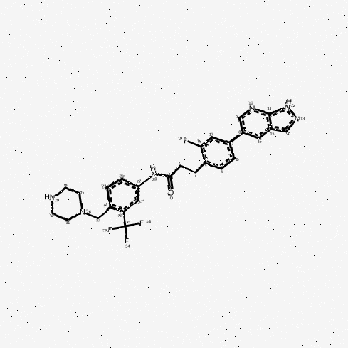 O=C(CCc1ccc(-c2cnc3[nH]ncc3c2)cc1F)Nc1ccc(CN2CCNCC2)c(C(F)(F)F)c1